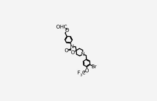 O=COCc1ccc(N2CC3(CCN(Cc4ccc(OC(F)(F)F)c(Br)c4)CC3)OC2=O)cc1